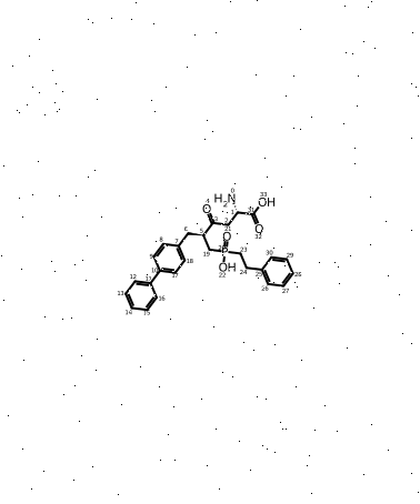 N[C@@H](CC(=O)[C@H](Cc1ccc(-c2ccccc2)cc1)CP(=O)(O)CCc1ccccc1)C(=O)O